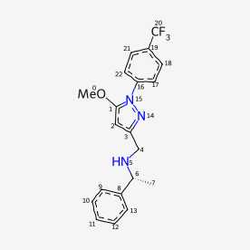 COc1cc(CN[C@H](C)c2ccccc2)nn1-c1ccc(C(F)(F)F)cc1